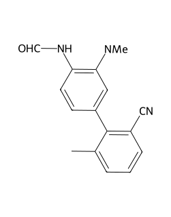 CNc1cc(-c2c(C)cccc2C#N)ccc1NC=O